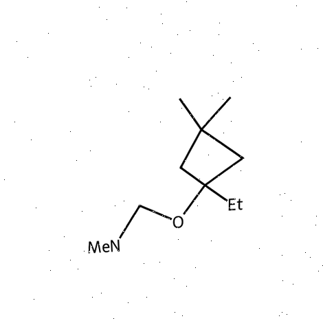 CCC1(OCNC)CC(C)(C)C1